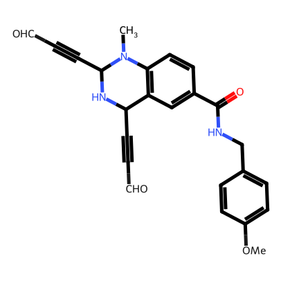 COc1ccc(CNC(=O)c2ccc3c(c2)C(C#CC=O)NC(C#CC=O)N3C)cc1